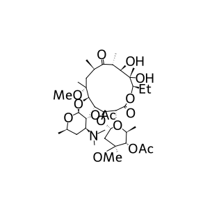 CC[C@H]1OC(=O)[C@H](C)[C@@H](O[C@H]2C[C@@](C)(OC)[C@@H](OC(C)=O)[C@H](C)O2)[C@H](C)[C@@H](O[C@@H]2O[C@H](C)C[C@H](N(C)C)[C@H]2OC(C)=O)[C@](C)(OC)C[C@@H](C)C(=O)[C@H](C)[C@@H](O)[C@]1(C)O